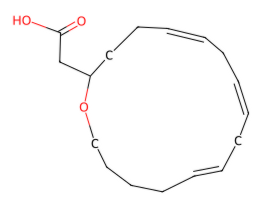 O=C(O)CC1CC/C=C\C/C=C\C/C=C/CCCCO1